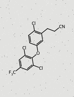 N#CCCc1cc(Oc2c(Cl)cc(C(F)(F)F)cc2Cl)ccc1Cl